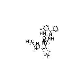 CCc1ncc(C2=C(c3nnc(N[C@H]4N=C(c5ccccc5)c5cccc(F)c5NC4=O)o3)N=C(C(F)(F)F)C2)cn1